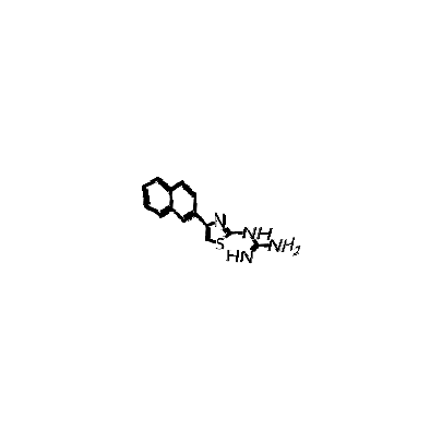 N=C(N)Nc1nc(-c2ccc3ccccc3c2)cs1